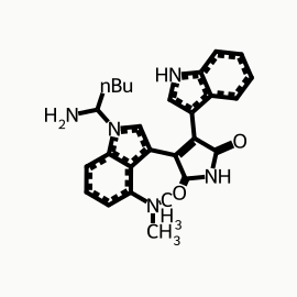 CCCCC(N)n1cc(C2=C(c3c[nH]c4ccccc34)C(=O)NC2=O)c2c(N(C)C)cccc21